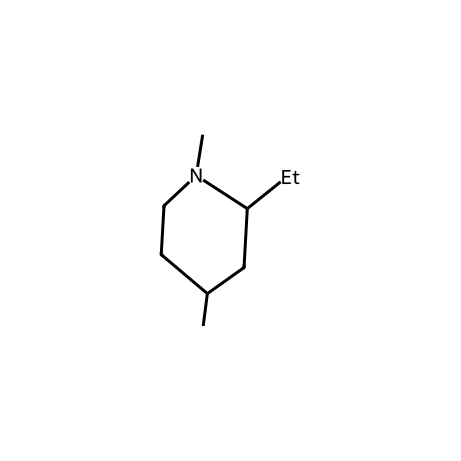 CCC1CC(C)CCN1C